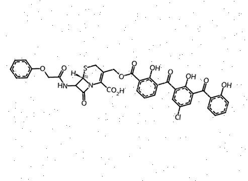 O=C(COc1ccccc1)NC1C(=O)N2C(C(=O)O)=C(COC(=O)c3cccc(C(=O)c4cc(Cl)cc(C(=O)c5ccccc5O)c4O)c3O)CS[C@@H]12